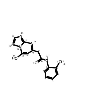 Cc1ccccc1NC(=O)Cc1cc(O)n2ncnc2n1